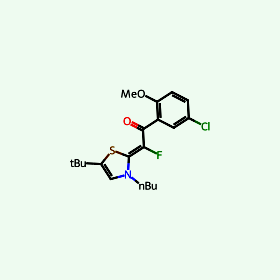 CCCCN1C=C(C(C)(C)C)S/C1=C(/F)C(=O)c1cc(Cl)ccc1OC